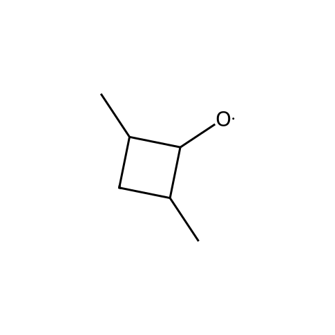 CC1CC(C)C1[O]